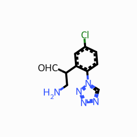 NCC(C=O)c1cc(Cl)ccc1-n1cnnn1